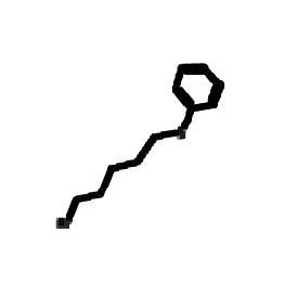 CC(C)CCCCCSc1ccccc1